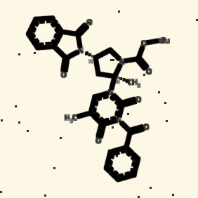 Cc1cn([C@@]2(C)C[C@H](N3C(=O)c4ccccc4C3=O)CN2C(=O)OC(C)(C)C)c(=O)n(C(=O)c2ccccc2)c1=O